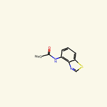 COC(=O)Nc1cccc2s[c]nc12